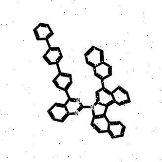 c1ccc(-c2ccc(-c3ccc(-c4nc(-n5c6ccc7ccccc7c6c6c7ccccc7c(-c7ccc8ccccc8c7)cc65)nc5ccccc45)cc3)cc2)cc1